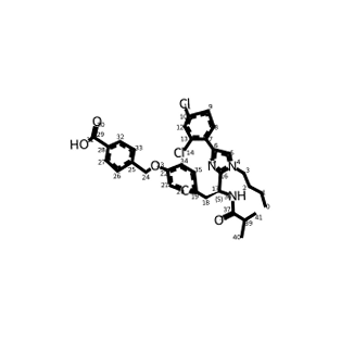 CCCCn1cc(-c2ccc(Cl)cc2Cl)nc1[C@H](Cc1ccc(OCc2ccc(C(=O)O)cc2)cc1)NC(=O)C(C)C